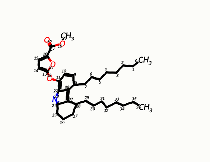 CCCCCCCCC1C=CC(Oc2ccc(C(=O)OC)o2)=C2N=C3CCCC(CCCCCCCC)C3=C21